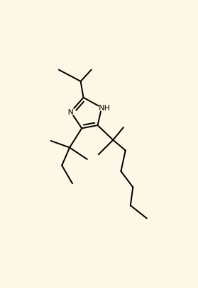 CCCCCC(C)(C)c1[nH]c(C(C)C)nc1C(C)(C)CC